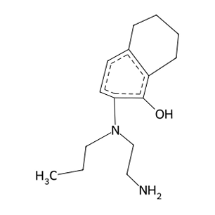 CCCN(CCN)c1ccc2c(c1O)CCCC2